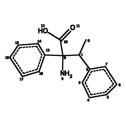 CC(c1ccccc1)C(N)(C(=O)O)c1ccccc1